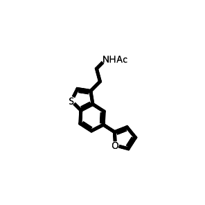 CC(=O)NCCc1csc2ccc(-c3ccco3)cc12